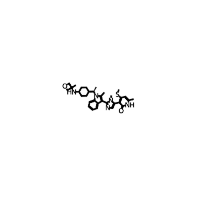 CSc1cc(C)[nH]c(=O)c1-c1cnc(-c2c(C)n([C@H](C)C3CCC(NC4(C)COC4)CC3)c3ccccc23)n1C